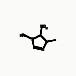 CCCN1C=NN(C)C1[N+](=O)[O-]